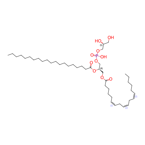 CCCCC/C=C\C/C=C\C/C=C\CCCCC(=O)OC[C@H](COP(=O)(O)OC[C@@H](O)CO)OC(=O)CCCCCCCCCCCCCCCCCCC